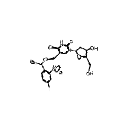 CC(C)(C)C(OCc1cn([C@H]2C[C@@H](O)[C@@H](CO)O2)c(=O)[nH]c1=O)c1ccc(I)cc1[N+](=O)[O-]